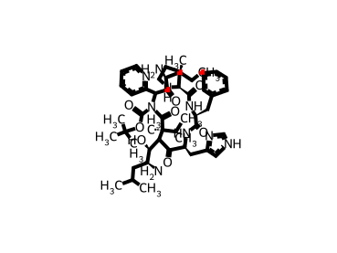 CC[C@H](C)[C@H](N)C(=O)C(c1ccccn1)N(C(=O)OC(C)(C)C)C(=O)[C@@](C)(C(C)C)C(C(=O)[C@H](Cc1c[nH]cn1)NC(=O)[C@H](Cc1ccccc1)NC(=O)[C@@H]1CCCN1)[C@H](O)[C@@H](N)CC(C)C